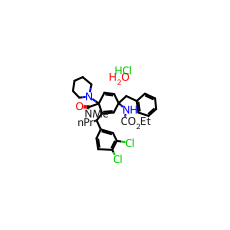 CCCC(C1=CC(Cc2ccccc2)(NC(=O)OCC)C=CC1(C(=O)NC)N1CCCCC1)c1ccc(Cl)c(Cl)c1.Cl.O